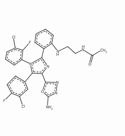 CC(=O)NCCNc1ccccc1-c1nc(-c2nnc(N)o2)c(-c2ccc(F)c(Cl)c2)n1-c1cccc(Cl)c1F